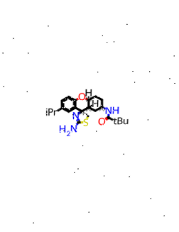 CC(C)c1ccc2c(c1)[C@@]1(CSC(N)=N1)[C@H]1C[C@H](NC(=O)C(C)(C)C)CC[C@@H]1O2